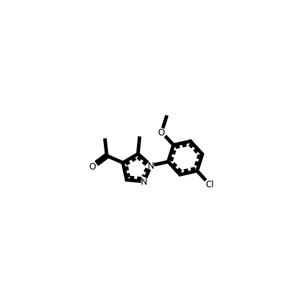 COc1ccc(Cl)cc1-n1ncc(C(C)=O)c1C